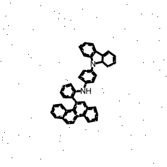 C1=CCC2C(=C1)c1ccccc1N2c1ccc(Nc2ccccc2-c2cc3ccccc3c3ccc4ccccc4c23)cc1